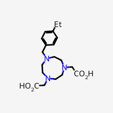 CCc1ccc(CN2CCN(CC(=O)O)CCN(CC(=O)O)CC2)cc1